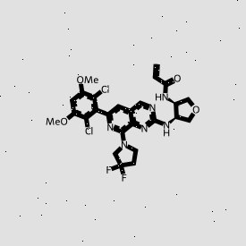 C=CC(=O)N[C@H]1COC[C@H]1Nc1ncc2cc(-c3c(Cl)c(OC)cc(OC)c3Cl)nc(N3CCC(F)(F)C3)c2n1